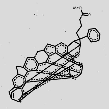 COC(=O)CCCC1(c2ccccc2)C2c3cc4cc5c6c4c4c3c3c7c8c9c%10c(cc%11c%12c%13c(cc(c%14c%13c%13c(c%12%10)c9c3c4c%13c6%14)C5)C%11)CC8=CC721